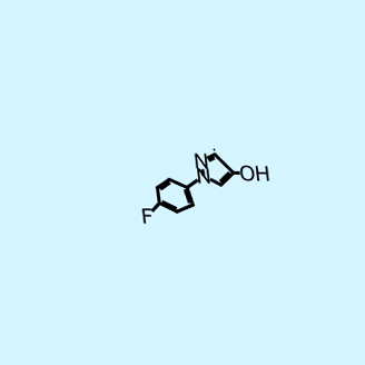 Oc1[c]nn(-c2ccc(F)cc2)c1